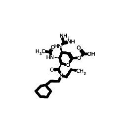 CCCN(CCC1CCCCC1)C(=O)[C@@H]1OC(OC(=O)O)=C[C@H](NC(=N)N)[C@H]1NC(C)=O